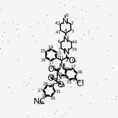 CN1CCC(N2CCN(C(=O)C(c3ccccc3)n3c(=O)n(S(=O)(=O)c4ccc(C#N)cc4)c4cc(Cl)ccc43)CC2)CC1